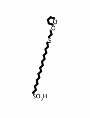 O=S(=O)(O)CCCCCCCCCCCCCCCCCSCCCOC1CCCCO1